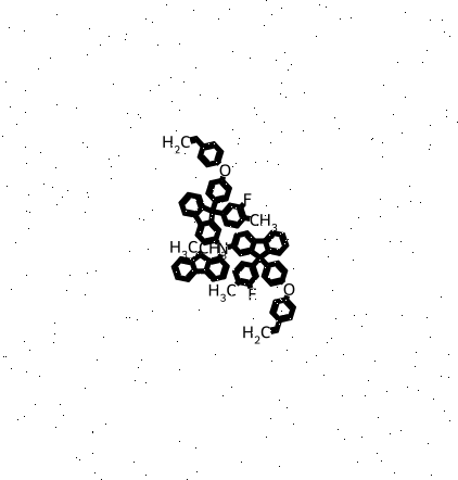 C=Cc1ccc(Oc2ccc(C3(c4ccc(C)c(F)c4)c4ccccc4-c4ccc(N(c5ccc6c(c5)C(c5ccc(Oc7ccc(C=C)cc7)cc5)(c5ccc(C)c(F)c5)c5ccccc5-6)c5cccc6c5C(C)(C)c5ccccc5-6)cc43)cc2)cc1